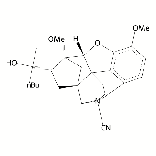 CCCCC(C)(O)[C@H]1C[C@@]23C[C@]1(OC)[C@@H]1Oc4c(OC)ccc5c4C12CCN(C#N)C3C5